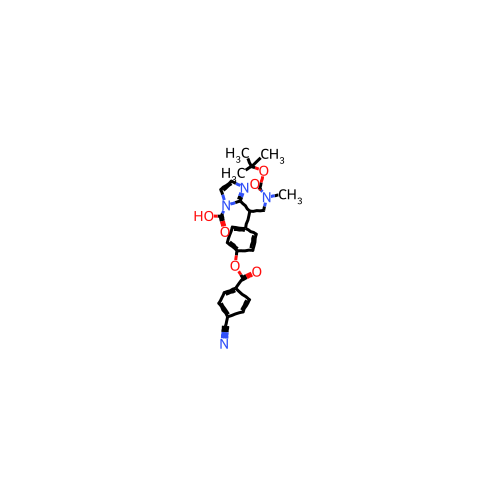 CN(CC(c1ccc(OC(=O)c2ccc(C#N)cc2)cc1)c1nccn1C(=O)O)C(=O)OC(C)(C)C